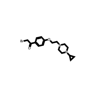 O=C(CBr)c1ccc(OCCN2CCN(C3CC3)CC2)cc1